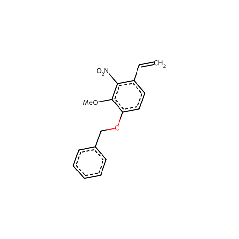 C=Cc1ccc(OCc2ccccc2)c(OC)c1[N+](=O)[O-]